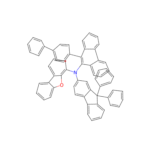 c1ccc(-c2ccc(-c3c(N(c4ccc5c(c4)C(c4ccccc4)(c4ccccc4)c4ccccc4-5)c4cccc5c4oc4ccccc45)c4ccccc4c4ccccc34)cc2)cc1